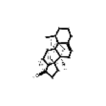 CC1CCCC2=CC[C@@H]3[C@@H](CC[C@]4(C)C(=O)CC[C@@H]34)[C@]21C